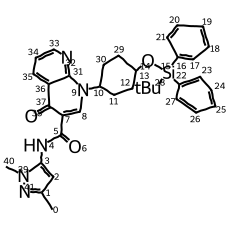 Cc1cc(NC(=O)c2cn(C3CCC(O[Si](c4ccccc4)(c4ccccc4)C(C)(C)C)CC3)c3ncccc3c2=O)n(C)n1